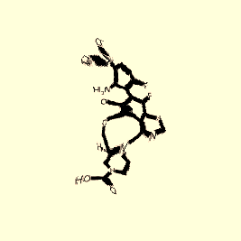 Nc1c([N+](=O)[O-])ccc(F)c1-c1c(Cl)c2c3c(ncnc3c1F)N1CCN(C(=O)O)C[C@H]1CO2